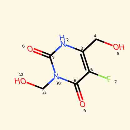 O=c1[nH]c(CO)c(F)c(=O)n1CO